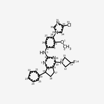 COc1cc(Nc2nc3c(c(N4CC(F)C4)n2)CCC3c2ccccc2)ccc1-n1cnc(Cl)c1